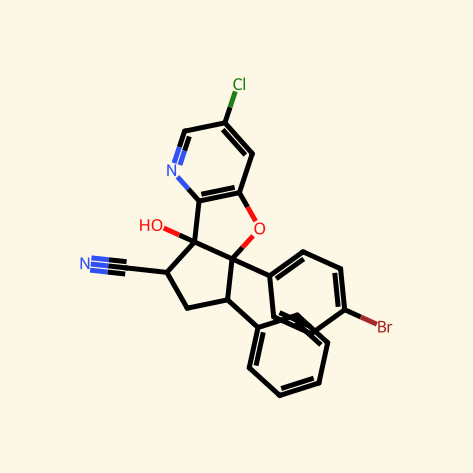 N#CC1CC(c2ccccc2)C2(c3ccc(Br)cc3)Oc3cc(Cl)cnc3C12O